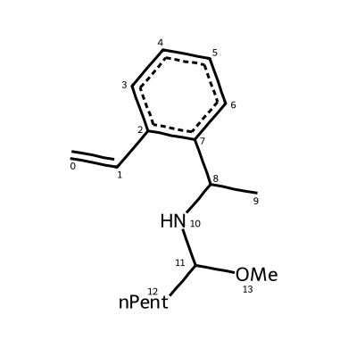 C=Cc1ccccc1C(C)NC(CCCCC)OC